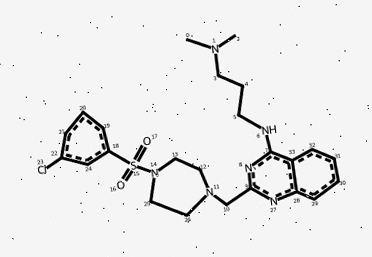 CN(C)CCCNc1nc(CN2CCN(S(=O)(=O)c3cccc(Cl)c3)CC2)nc2ccccc12